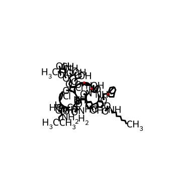 CCCCCCCCNC(=O)Oc1cc(O)c2c(c1)[C@@H](C(=O)CC1C3CC4CC(C3)CC1C4)NC(=O)[C@H]1NC(=O)[C@H](CC(=O)C3NC(=O)[C@H](CC(N)=O)CC(=O)[C@H](NC(=O)[C@H](N)CC(C)C)[C@H](O)c4ccc(c(Cl)c4)Oc4cc3cc(c4OC3OC(CO)C(O)C(O)C3OC3CC(C)(N)C(O)C(C)O3)Oc3ccc(cc3Cl)[C@H]1O)c1ccc(O)c-2c1